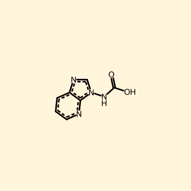 O=C(O)Nn1cnc2cccnc21